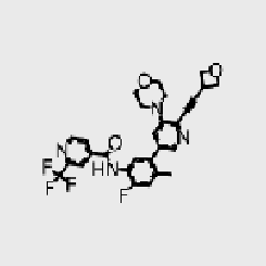 Cc1cc(F)c(NC(=O)c2ccnc(C(F)(F)F)c2)cc1-c1cnc(C#CC2COC2)c(N2CCOCC2)c1